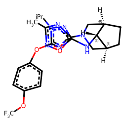 Cc1noc(N2C[C@H]3CC[C@@H](C2)[C@@H]3Nc2nc(Oc3ccc(OC(F)(F)F)cc3)n(C(C)C)n2)n1